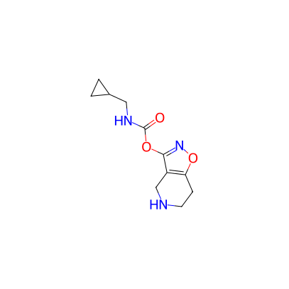 O=C(NCC1CC1)Oc1noc2c1CNCC2